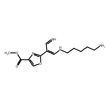 COC(=O)c1coc(/C(C=N)=C/NCCCCCN)n1